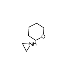 C1CCOCC1.C1CN1